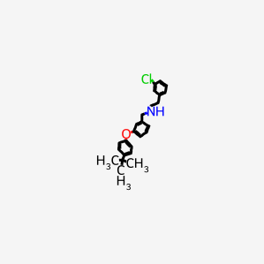 CC(C)(C)c1ccc(Oc2cccc(CNCCc3cccc(Cl)c3)c2)cc1